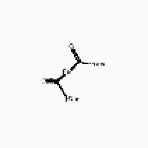 CCCCCCCCC[C](=O)[Fe][C](=O)CCCCCCCCC